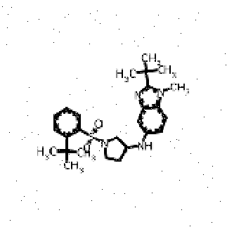 Cn1c(C(C)(C)C)nc2cc(NC3CCN(S(=O)(=O)c4ccccc4C(C)(C)C)C3)ccc21